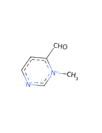 C[n+]1cnccc1C=O